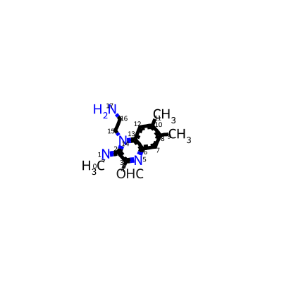 C/N=c1\c(C=O)nc2cc(C)c(C)cc2n1CCN